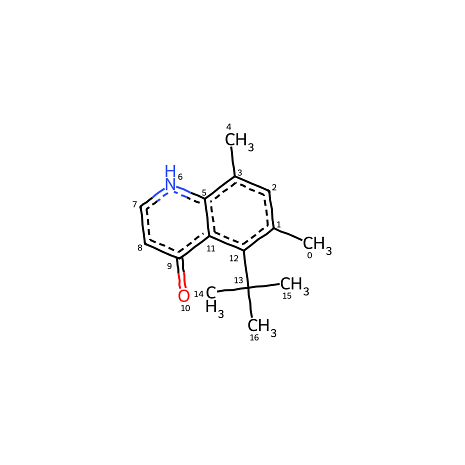 Cc1cc(C)c2[nH]ccc(=O)c2c1C(C)(C)C